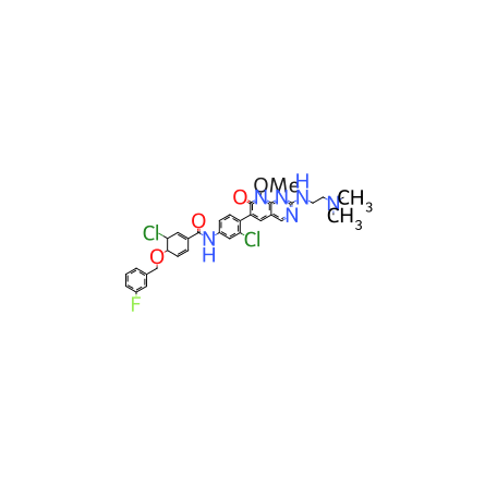 COn1c(=O)c(-c2ccc(NC(=O)C3=CC(Cl)C(OCc4cccc(F)c4)C=C3)cc2Cl)cc2cnc(NCCN(C)C)nc21